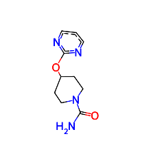 NC(=O)N1CCC(Oc2ncccn2)CC1